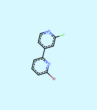 Fc1cc(-c2cccc(Br)n2)ccn1